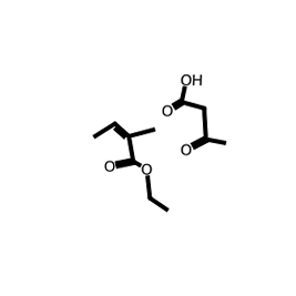 CC(=O)CC(=O)O.CC=C(C)C(=O)OCC